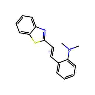 CN(C)c1ccccc1/C=C/c1nc2ccccc2s1